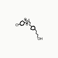 CN(CCc1ccc(CCCCO)cc1)S(=O)(=O)c1ccc(Cl)cc1